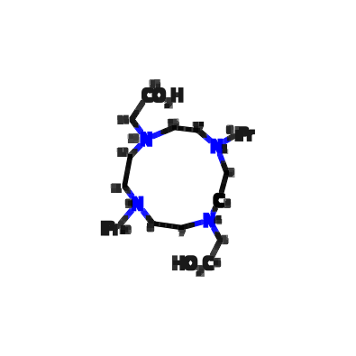 CC(C)N1CCN(CC(=O)O)CCN(C(C)C)CCN(CC(=O)O)CC1